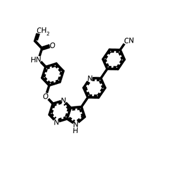 C=CC(=O)Nc1cccc(Oc2cnc3[nH]cc(-c4ccc(-c5ccc(C#N)cc5)nc4)c3n2)c1